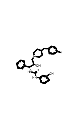 N#Cc1cccc(NC(=O)N[C@H](c2ccccc2)[C@H](O)CN2CCC(Cc3ccc(F)cc3)CC2)c1